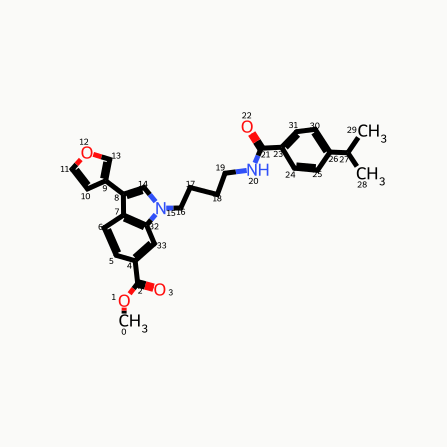 COC(=O)c1ccc2c(-c3ccoc3)cn(CCCCNC(=O)c3ccc(C(C)C)cc3)c2c1